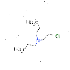 O=C(O)CCN(CCCl)CCC(=O)O